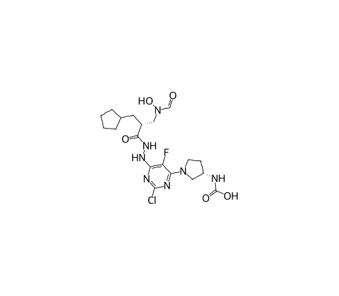 O=CN(O)C[C@@H](CC1CCCC1)C(=O)NNc1nc(Cl)nc(N2CC[C@H](NC(=O)O)C2)c1F